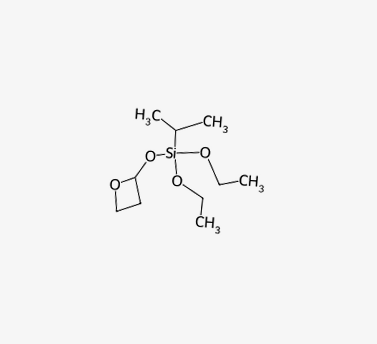 CCO[Si](OCC)(OC1CCO1)C(C)C